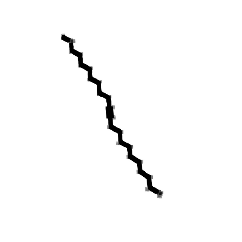 COCCCCCCCCC#CCCCCCCCCCBr